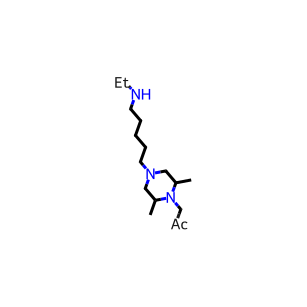 CCNCCCCCN1CC(C)N(CC(C)=O)C(C)C1